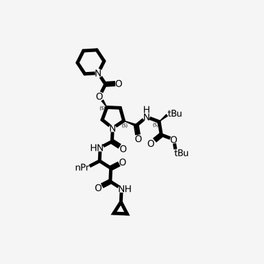 CCCC(NC(=O)N1C[C@@H](OC(=O)N2CCCCC2)C[C@H]1C(=O)N[C@H](C(=O)OC(C)(C)C)C(C)(C)C)C(=O)C(=O)NC1CC1